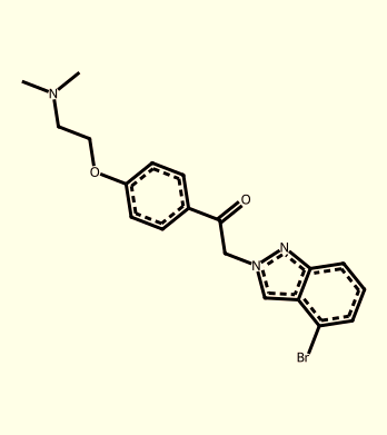 CN(C)CCOc1ccc(C(=O)Cn2cc3c(Br)cccc3n2)cc1